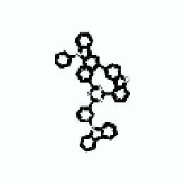 c1ccc(-c2nc(-c3cccc(-n4c5ccccc5c5ccccc54)c3)nc(-c3cccc4oc5ccc(-c6ccc7c(c6)c6ccccc6n7-c6ccccc6)cc5c34)n2)cc1